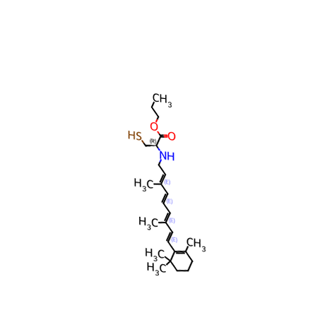 CCCOC(=O)[C@H](CS)NC/C=C(C)/C=C/C=C(C)/C=C/C1=C(C)CCCC1(C)C